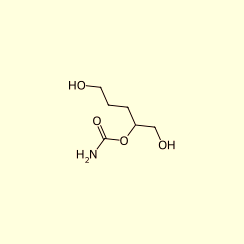 NC(=O)OC(CO)CCCO